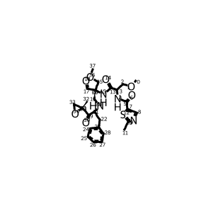 COCC(NC(=O)c1cnc(C)s1)C(=O)N[C@@](C=O)(CNC(Cc1ccccc1)C(=O)[C@@]1(C)CO1)COC